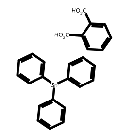 O=C(O)c1ccccc1C(=O)O.c1cc[c]([Sn]([c]2ccccc2)[c]2ccccc2)cc1